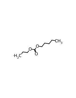 [CH2]CCOC(=O)OCCCCC